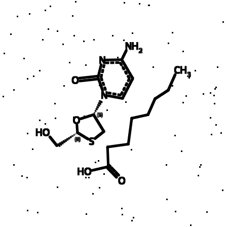 CCCCCCCC(=O)O.Nc1ccn([C@@H]2CS[C@H](CO)O2)c(=O)n1